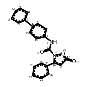 O=C(Nc1ccc(-c2ccccc2)cc1)n1oc(=O)cc1-c1ccccc1